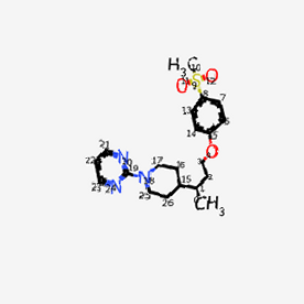 C[C@H](CCOc1ccc(S(C)(=O)=O)cc1)C1CCN(c2ncccn2)CC1